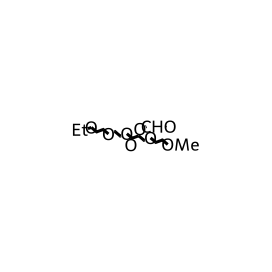 CCOCCOCCOC(=O)C(COCCOC)O[C]=O